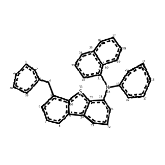 c1ccc(Cc2cccc3c2sc2c(N(c4ccccc4)c4cccc5ccccc45)cccc23)cc1